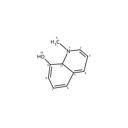 CN1C=CC=C2C=CC=C(O)C21